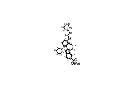 COC(=O)c1ccc2c(C3CCCCC3)c3n(c2c1)CCOc1c(OCCN2CCCCC2)cccc1-3